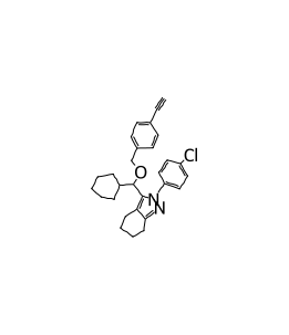 C#Cc1ccc(COC(c2c3c(nn2-c2ccc(Cl)cc2)CCCC3)C2CCCCC2)cc1